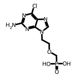 Nc1nc(Cl)c2ncn(CCOCP(=O)(O)O)c2n1